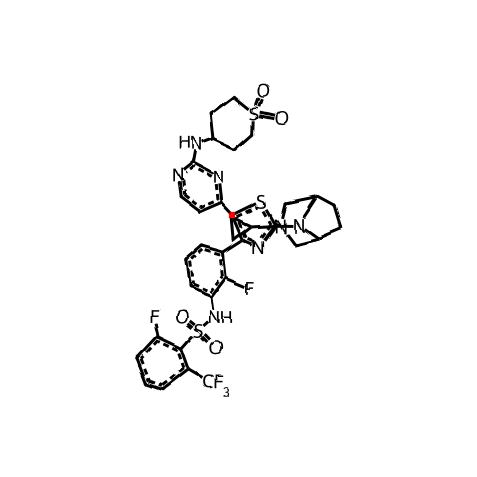 O=S1(=O)CCC(Nc2nccc(-c3sc(N4C5CCC4CN(C4CC4)C5)nc3-c3cccc(NS(=O)(=O)c4c(F)cccc4C(F)(F)F)c3F)n2)CC1